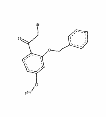 CCCOc1ccc(C(=O)CBr)c(OCc2ccccc2)c1